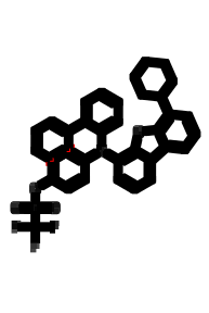 O=S(=O)(Oc1ccc(N(c2ccccc2-c2ccccc2)c2cccc3c2oc2c(C4CCCCC4)cccc23)cc1)C(F)(F)F